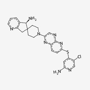 Nc1cc(Sc2ccc3nc(N4CCC5(CC4)Cc4ncccc4[C@H]5N)cnc3n2)c(Cl)cn1